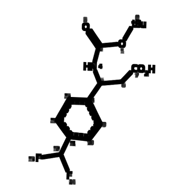 CC(C)(C)OC(=O)NC(CC(=O)O)c1ccc(C(F)F)cc1